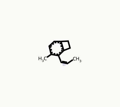 C/C=C\c1c(C)ccc2c1CC2